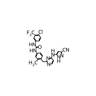 Cc1cc(NC(=O)Nc2ccc(Cl)c(C(F)(F)F)c2)ccc1Cc1nccc(Nc2cc(C#N)n[nH]2)n1